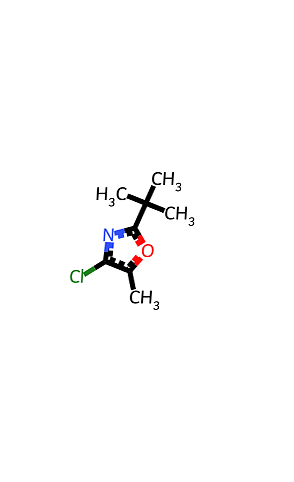 Cc1oc(C(C)(C)C)nc1Cl